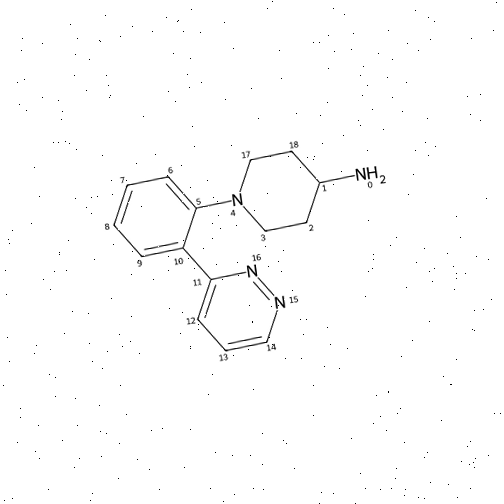 NC1CCN(c2ccccc2-c2cccnn2)CC1